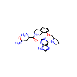 NC(=O)C[C@H](N)C(=O)N1CCc2cccc(OCC3CCCN3c3ncnc4[nH]cnc34)c2C1